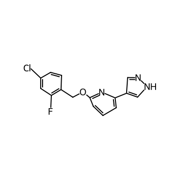 Fc1cc(Cl)ccc1COc1cccc(-c2cn[nH]c2)n1